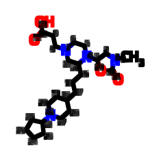 CN1CC(N2CCN(CCC(=O)O)CC2CCCC2CCN(C3CCCC3)CC2)OC1=O